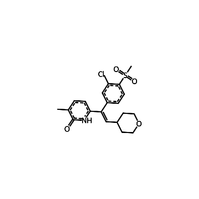 Cc1ccc(/C(=C/C2CCOCC2)c2ccc(S(C)(=O)=O)c(Cl)c2)[nH]c1=O